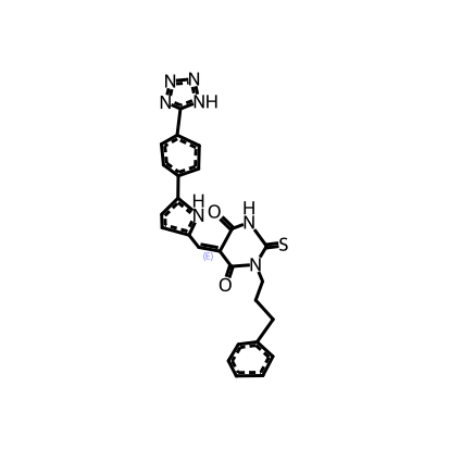 O=C1NC(=S)N(CCCc2ccccc2)C(=O)/C1=C/c1ccc(-c2ccc(-c3nnn[nH]3)cc2)[nH]1